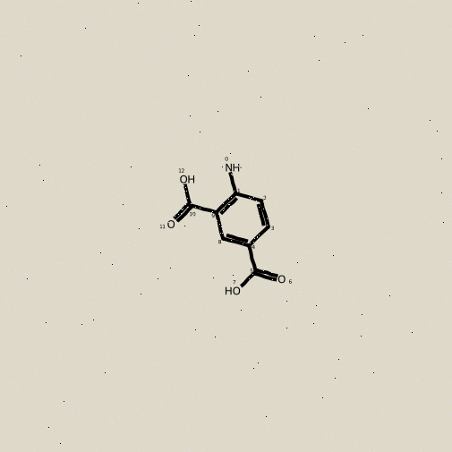 [NH]c1ccc(C(=O)O)cc1C(=O)O